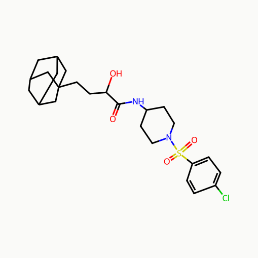 O=C(NC1CCN(S(=O)(=O)c2ccc(Cl)cc2)CC1)C(O)CCC12CC3CC(CC(C3)C1)C2